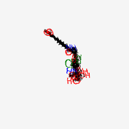 COC(=O)CCCCCCCCCCCNC(=O)c1cccc(COc2c(Cl)cc(C(=O)N[C@H]3[C@@H](OC)O[C@H](CO)[C@@H](O)[C@@H]3O)c(C)c2Cl)c1